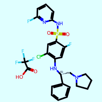 O=C(O)C(F)(F)F.O=S(=O)(Nc1cccc(F)n1)c1cc(Cl)c(N[C@H](CN2CCCC2)c2ccccc2)cc1F